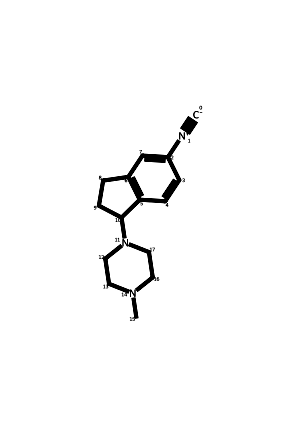 [C-]#[N+]c1ccc2c(c1)CCC2N1CCN(C)CC1